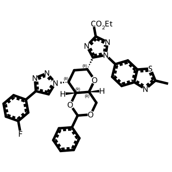 CCOC(=O)c1nc([C@H]2C[C@@H](n3cc(-c4cccc(F)c4)nn3)[C@H]3OC(c4ccccc4)OC[C@H]3O2)n(-c2ccc3nc(C)sc3c2)n1